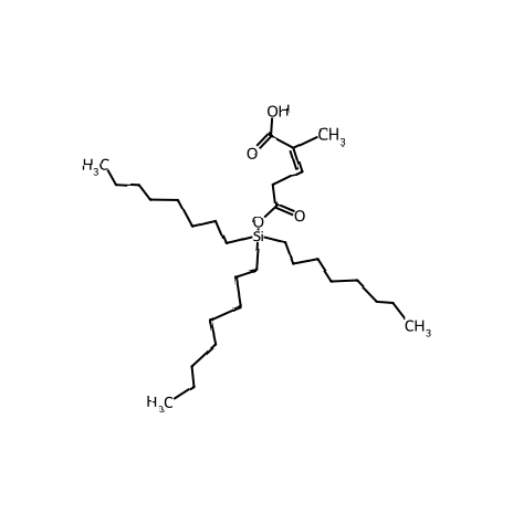 CCCCCCCC[Si](CCCCCCCC)(CCCCCCCC)OC(=O)CC=C(C)C(=O)O